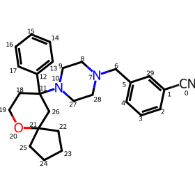 N#Cc1cccc(CN2CCN(C3(c4ccccc4)CCOC4(CCCC4)C3)CC2)c1